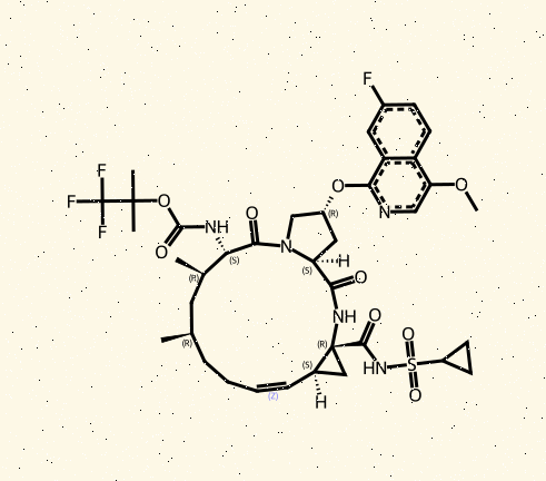 COc1cnc(O[C@@H]2C[C@H]3C(=O)N[C@]4(C(=O)NS(=O)(=O)C5CC5)C[C@H]4/C=C\CC[C@@H](C)C[C@@H](C)[C@H](NC(=O)OC(C)(C)C(F)(F)F)C(=O)N3C2)c2cc(F)ccc12